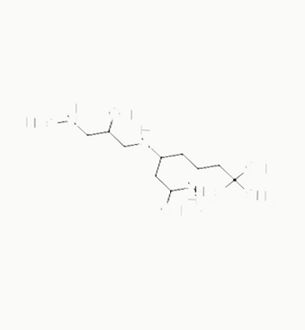 CNCC(O)CNC(CCCC(C)(C)C)CC(C)N